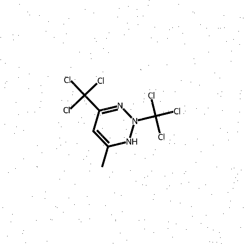 CC1=CC(C(Cl)(Cl)Cl)=NN(C(Cl)(Cl)Cl)N1